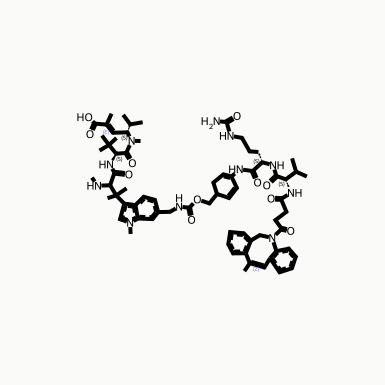 CNC(C(=O)N[C@H](C(=O)N(C)[C@H](/C=C(\C)C(=O)O)C(C)C)C(C)(C)C)C(C)(C)c1cn(C)c2cc(CNC(=O)OCC3C=CC(NC(=O)[C@H](CCCNC(N)=O)NC(=O)[C@@H](NC(=O)CCC(=O)N4Cc5ccccc5/C(C)=C\c5ccccc54)C(C)C)=CC3)ccc12